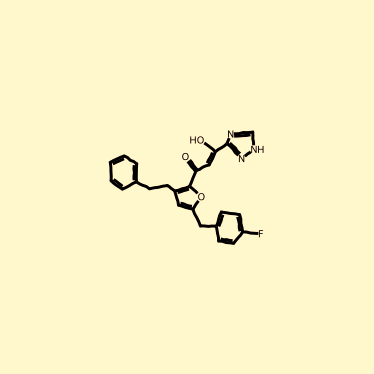 O=C(C=C(O)c1nc[nH]n1)c1oc(Cc2ccc(F)cc2)cc1CCc1ccccc1